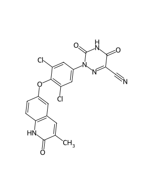 Cc1cc2cc(Oc3c(Cl)cc(-n4nc(C#N)c(=O)[nH]c4=O)cc3Cl)ccc2[nH]c1=O